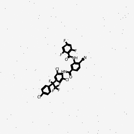 N#Cc1ccc(C(=O)Nc2c(Cl)cc(C(F)(c3ccc(Cl)cc3)C(F)(F)F)cc2Cl)cc1NC(=O)c1c(F)cc(F)cc1F